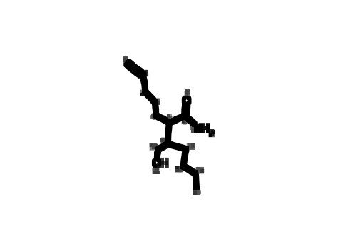 C=CCCCC(C(N)=O)C(CO)CCCC